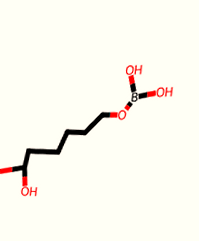 OB(O)OCCCCCC(O)O